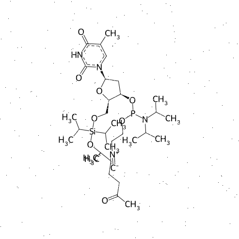 [C-]#[N+]CCOP(O[C@@H]1C[C@H](n2cc(C)c(=O)[nH]c2=O)O[C@@H]1CO[Si](OC(C)(C)CCCC(C)=O)(C(C)C)C(C)C)N(C(C)C)C(C)C